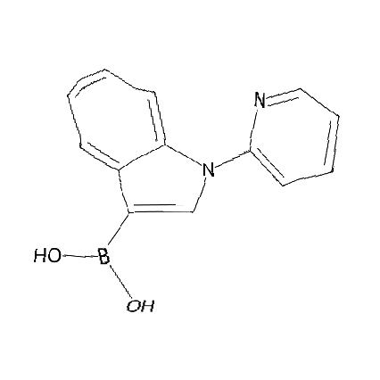 OB(O)c1cn(-c2ccccn2)c2ccccc12